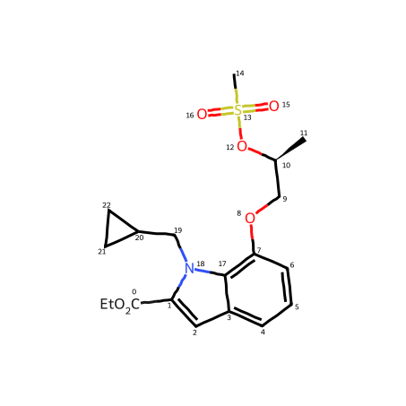 CCOC(=O)c1cc2cccc(OC[C@H](C)OS(C)(=O)=O)c2n1CC1CC1